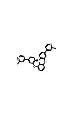 Cc1cc(-c2ccc3c(c2)Oc2cccc4c2P3(=O)c2ccc(-c3ccnc(C)c3)cc2O4)ccn1